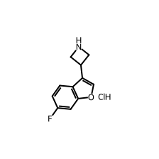 Cl.Fc1ccc2c(C3CNC3)coc2c1